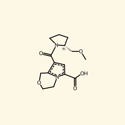 COC[C@H]1CCCN1C(=O)c1cc(C(=O)O)n2c1COCC2